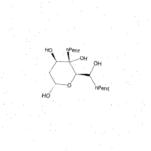 CCCCCC(O)[C@H]1O[C@H](O)C[C@@H](O)[C@@]1(O)CCCCC